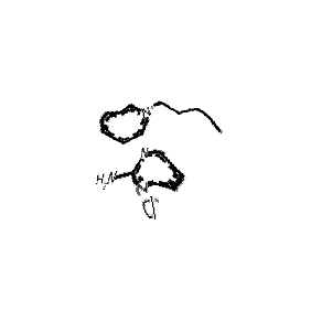 CCCC[n+]1ccccc1.Nc1ncccn1.[Cl-]